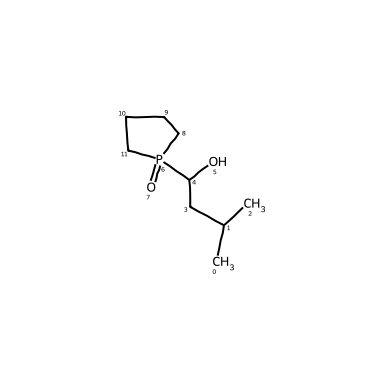 CC(C)CC(O)P1(=O)CCCC1